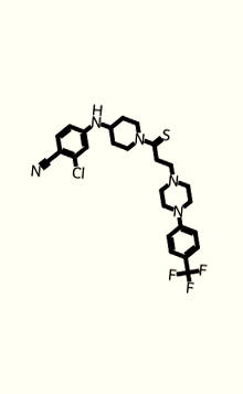 N#Cc1ccc(NC2CCN(C(=S)CCN3CCN(c4ccc(C(F)(F)F)cc4)CC3)CC2)cc1Cl